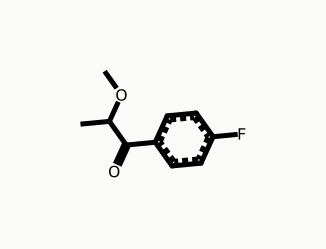 COC(C)C(=O)c1ccc(F)cc1